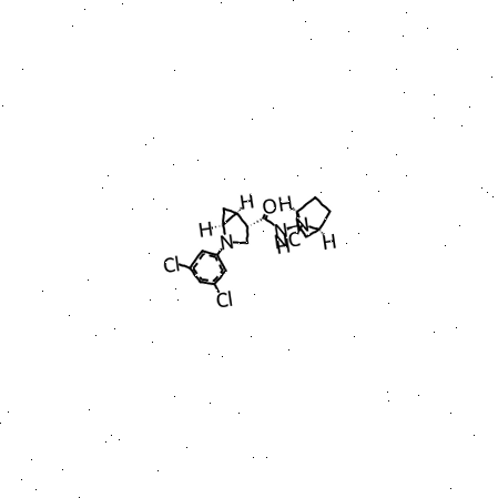 N#CN1[C@H]2CC[C@@H]1[C@H](NC(=O)[C@@H]1CN(c3cc(Cl)cc(Cl)c3)[C@H]3C[C@@H]13)C2